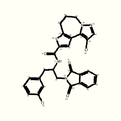 O=C(NC(Cc1cccc(Cl)c1)CN1C(=O)c2ccccc2C1=O)c1cc2c(s1)CCCn1ncc(Cl)c1-2